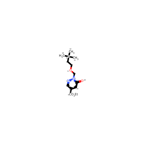 CCOC(=O)c1cnn(COCC[Si](C)(C)C)c(=O)c1